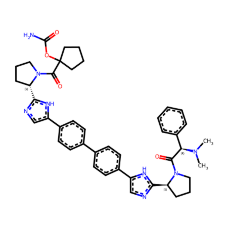 CN(C)[C@@H](C(=O)N1CCC[C@H]1c1ncc(-c2ccc(-c3ccc(-c4cnc([C@@H]5CCCN5C(=O)C5(OC(N)=O)CCCC5)[nH]4)cc3)cc2)[nH]1)c1ccccc1